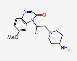 COc1ccc2ncc(=O)n(C(C)CN3CCC(N)CC3)c2c1